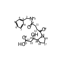 CN(Cc1ccccc1)C(=O)CCC(=O)N1CCC[C@H]1[C@@H](O)CC(=O)O